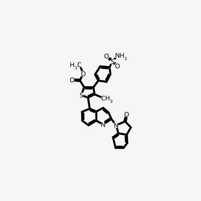 COC(=O)c1sc(-c2cccc3nc(N4C(=O)Cc5ccccc54)ccc23)c(C)c1-c1ccc(S(N)(=O)=O)cc1